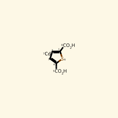 O=C(O)c1ccc(C(=O)O)s1.[Cd]